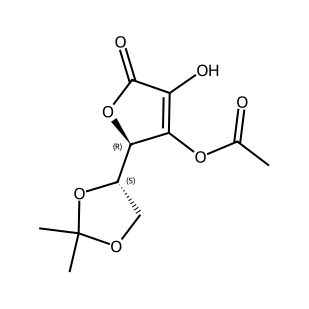 CC(=O)OC1=C(O)C(=O)O[C@@H]1[C@@H]1COC(C)(C)O1